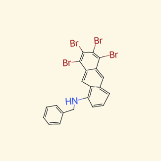 Brc1c(Br)c(Br)c2cc3c(NCc4ccccc4)cccc3cc2c1Br